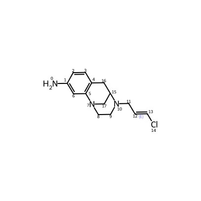 Nc1ccc2c(c1)N1CCN(C/C=C/Cl)C(C2)C1